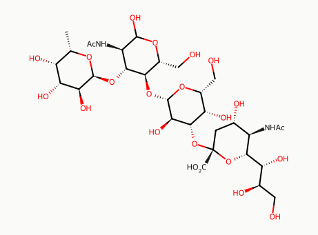 CC(=O)N[C@H]1[C@H]([C@H](O)[C@H](O)CO)O[C@@](O[C@H]2[C@@H](O)[C@@H](CO)O[C@@H](O[C@H]3[C@H](O[C@@H]4O[C@@H](C)[C@@H](O)[C@@H](O)[C@@H]4O)[C@@H](NC(C)=O)C(O)O[C@@H]3CO)[C@@H]2O)(C(=O)O)C[C@@H]1O